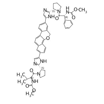 COC(=O)N[C@H](C(=O)N1CCC[C@H]1c1ncc(-c2ccc3c4c(ccc3c2)-c2ccc(-c3cnc([C@@H]5CCCN5C(=O)[C@H](NC(=O)OC)c5ccccc5)[nH]3)cc2CO4)[nH]1)C(C)C